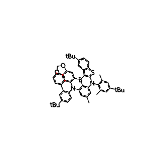 Cc1cc2c3c(c1)N(c1c(C)cc(C(C)(C)C)cc1C)c1sc4ccc(C(C)(C)C)cc4c1B3c1cc3c(cc1N2c1ccc(C(C)(C)C)cc1-c1ccccc1)OCO3